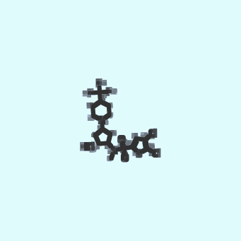 CN(C1CCC(N2CCC(C(F)(F)F)CC2)C1)S(=O)(=O)c1cc(Cl)c(Cl)s1.Cl